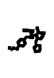 COc1ccc(CNC(=N)c2c(Cc3ccccc3)cc[nH]c2=O)cc1.Cl